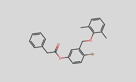 Cc1cccc(C)c1OCc1cc(OC(=O)Cc2ccccc2)ccc1Br